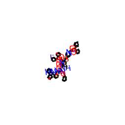 O=C(C[n+]1ccc(SCC2=C(C(=O)OC(c3ccccc3)c3ccccc3)N3C(=O)C(NC(=O)C(=NOCc4ccccc4)c4csc(NC(c5ccccc5)(c5ccccc5)c5ccccc5)n4)[C@@H]3SC2)cc1)OC(c1ccccc1)c1ccccc1.[I-]